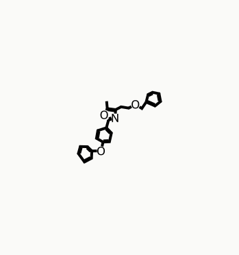 Cc1oc(-c2ccc(Oc3ccccc3)cc2)nc1CCOCc1ccccc1